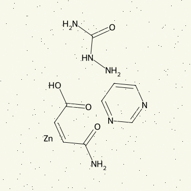 NC(=O)/C=C\C(=O)O.NNC(N)=O.[Zn].c1cncnc1